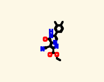 CCOC(=O)c1nn2cc(-c3ccc(C)c(C)c3)[nH]c(=O)c2c1C#N